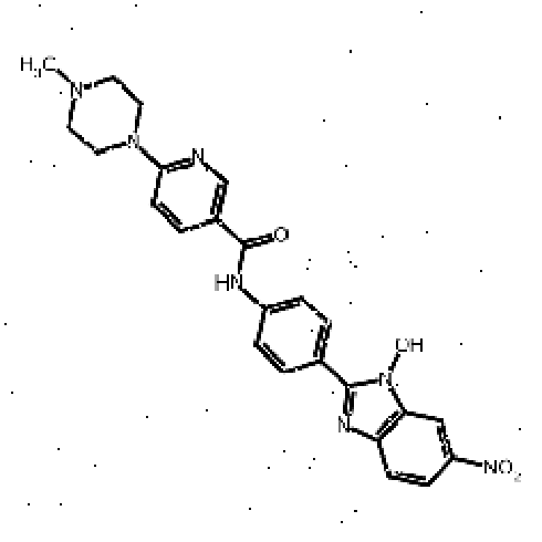 CN1CCN(c2ccc(C(=O)Nc3ccc(-c4nc5ccc([N+](=O)[O-])cc5n4O)cc3)cn2)CC1